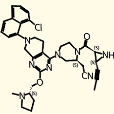 CC#C[C@@H]1N[C@@H]1C(=O)N1CCN(c2nc(OC[C@@H]3CCCN3C)nc3c2CCN(c2cccc4cccc(Cl)c24)C3)C[C@@H]1CC#N